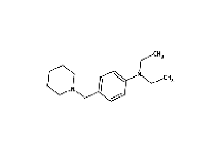 CCN(CC)c1ccc(CN2CC[CH]CC2)cc1